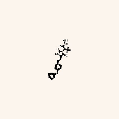 CC(C)(C)C(C(=O)NO)N1C(=O)NC(CCc2ccc(Oc3ccccc3)cc2)C1=O